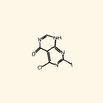 O=c1nc[nH]c2nc(I)nc(Cl)c12